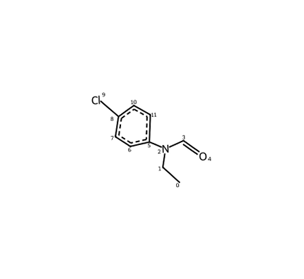 CCN(C=O)c1ccc(Cl)cc1